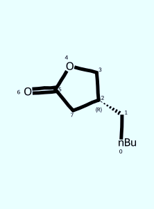 CCCCC[C@H]1COC(=O)C1